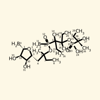 B[C@@H]1O[C@H](CC(C)(CC)OP(B)(=O)C(C)(CC)C(C)(CC)OP(=O)(O)[C@@](C)(O)CC)[C@@H](O)[C@H]1O